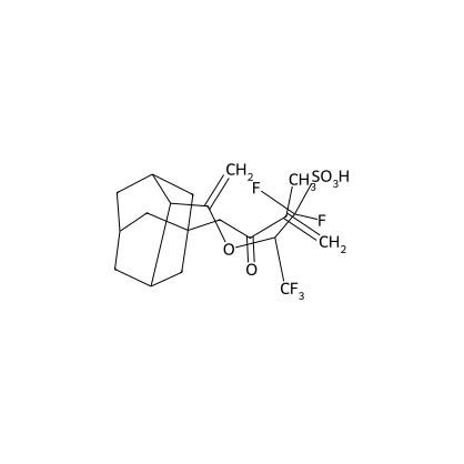 C=C(C)C(=O)CC12CC3CC(C1)C(C(=C)OC(C(F)(F)F)C(F)(F)S(=O)(=O)O)C(C3)C2